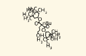 CCCCC(CCCO)(C(=O)OC1CC(C)(C)N(O)C(C)(C)C1)C(=O)OC1CC(C)(C)N(O)C(C)(C)C1